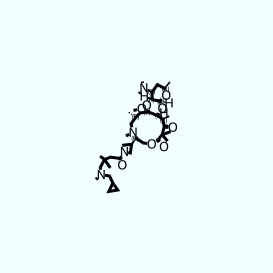 CO[C@]12C[C@@H](C)CN(C)[C@H](C3CN(C(=O)CC(C)(C)CN(C)CC4CC4)C3)COC(=O)C(C)(C)C(=O)[C@H](C)[C@H]1O[C@@H]1O[C@H](C)C[C@H](N(C)C)[C@H]1O2